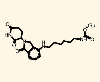 CC(C)(C)OC(=O)NCCCCCCNc1cccc2c1CN(C1CCC(=O)NC1=O)C2=O